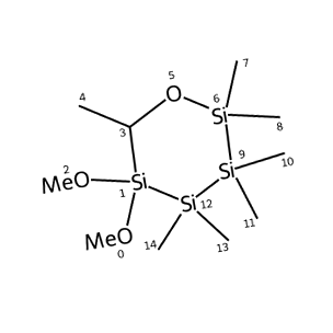 CO[Si]1(OC)C(C)O[Si](C)(C)[Si](C)(C)[Si]1(C)C